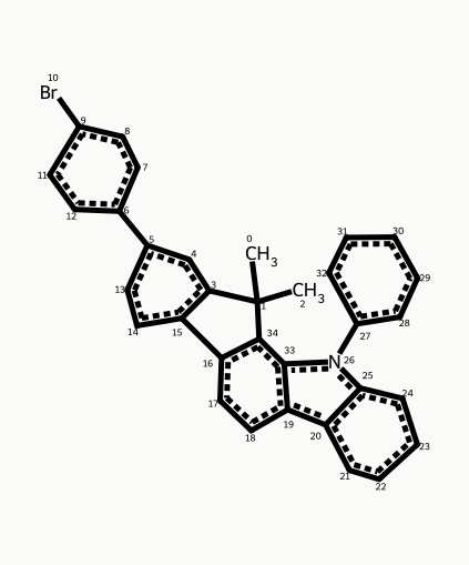 CC1(C)c2cc(-c3ccc(Br)cc3)ccc2-c2ccc3c4ccccc4n(-c4ccccc4)c3c21